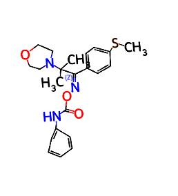 CSc1ccc(/C(=N/OC(=O)Nc2ccccc2)C(C)(C)N2CCOCC2)cc1